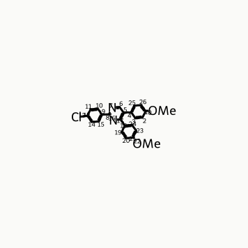 COc1ccc(-c2cnc(-c3ccc(Cl)cc3)nc2-c2ccc(OC)cc2)cc1